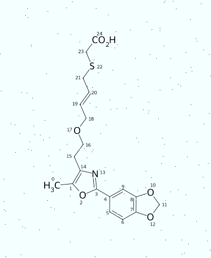 Cc1oc(-c2ccc3c(c2)OCO3)nc1CCOC/C=C/CSCC(=O)O